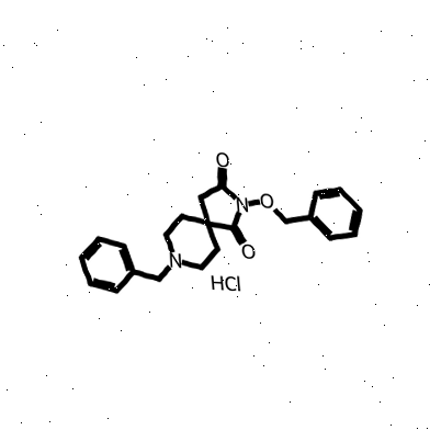 Cl.O=C1CC2(CCN(Cc3ccccc3)CC2)C(=O)N1OCc1ccccc1